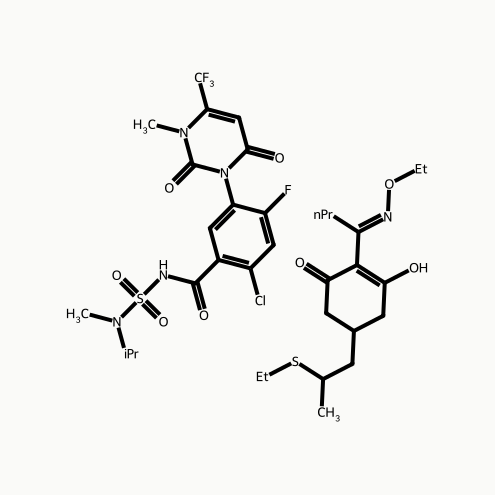 CC(C)N(C)S(=O)(=O)NC(=O)c1cc(-n2c(=O)cc(C(F)(F)F)n(C)c2=O)c(F)cc1Cl.CCC/C(=N\OCC)C1=C(O)CC(CC(C)SCC)CC1=O